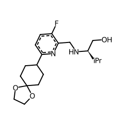 CC(C)[C@H](CO)NCc1nc(C2CCC3(CC2)OCCO3)ccc1F